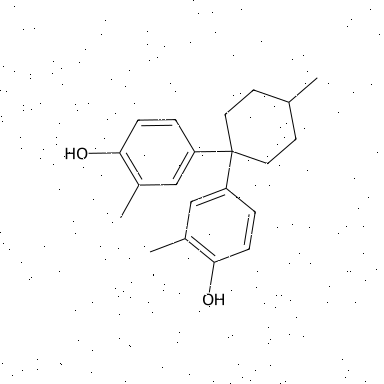 Cc1cc(C2(c3ccc(O)c(C)c3)CCC(C)CC2)ccc1O